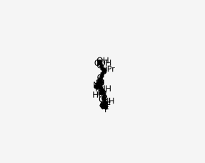 CC(C)N(CCCOc1ccc2c(Nc3cc(CC(=O)Nc4cccc(F)c4F)[nH]n3)ncnc2c1)CCOP(=O)(O)O